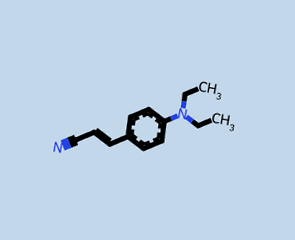 CCN(CC)c1ccc(/C=C/C#N)cc1